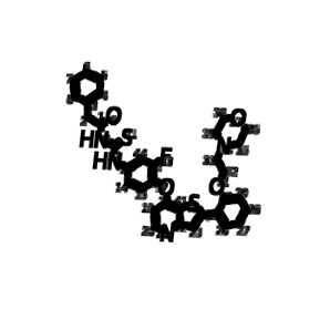 O=C(Cc1ccccc1)NC(=S)Nc1ccc(Oc2ccnc3cc(-c4ccccc4OCCN4CCOCC4)sc23)c(F)c1